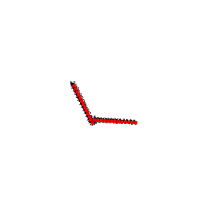 CCCCCCCCCCCCCCCCCCCCCCCCc1c[c]cc(CCCCCCCCCCCCCCCCCCCCCCCC)n1